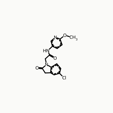 COc1ccc(NC(=O)CN2C(=O)Cc3cc(Cl)ccc32)cn1